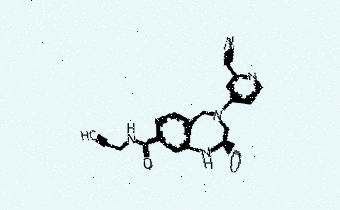 C#CCNC(=O)c1ccc2c(c1)NC(=O)CN(c1ccnc(C#N)c1)C2